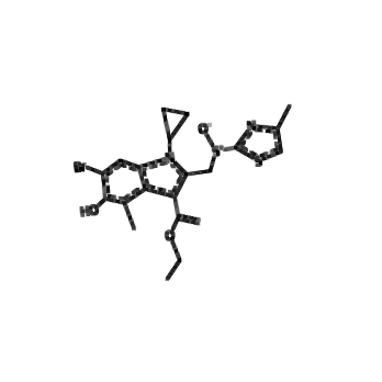 C=C(OCC)c1c(C[S+]([O-])c2nc(C)cs2)n(C2CC2)c2cc(Br)c(O)c(C)c12